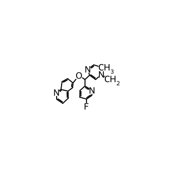 C=N/C=C(\N=C/C)C(Oc1ccc2ncccc2c1)c1ccc(F)cn1